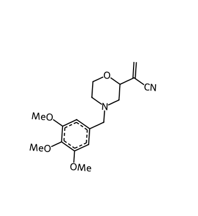 C=C(C#N)C1CN(Cc2cc(OC)c(OC)c(OC)c2)CCO1